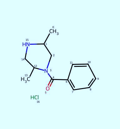 CC1CN(C(=O)c2ccccc2)C(C)CN1.Cl